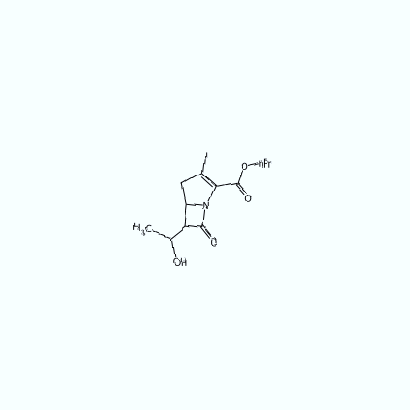 CCCOC(=O)C1=C(I)CC2C(C(C)O)C(=O)N12